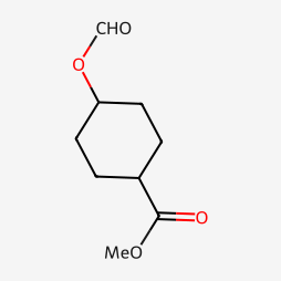 COC(=O)C1CCC(OC=O)CC1